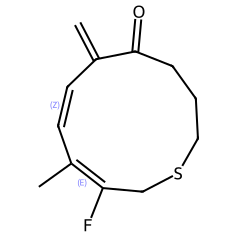 C=C1/C=C\C(C)=C(\F)CSCCCC1=O